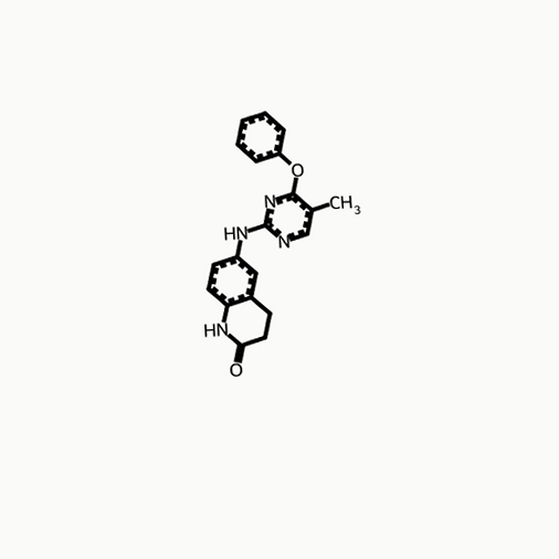 Cc1cnc(Nc2ccc3c(c2)CCC(=O)N3)nc1Oc1ccccc1